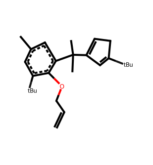 C=CCOc1c(C(C)(C)C)cc(C)cc1C(C)(C)C1=CCC(C(C)(C)C)=C1